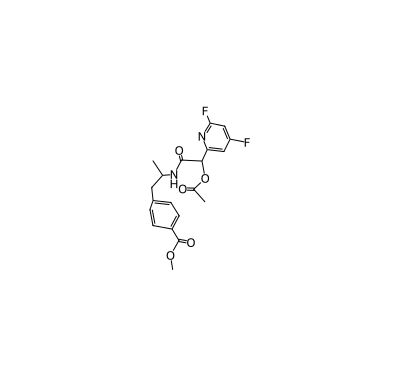 COC(=O)c1ccc(CC(C)NC(=O)C(OC(C)=O)c2cc(F)cc(F)n2)cc1